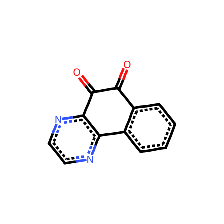 O=C1C(=O)c2nccnc2-c2ccccc21